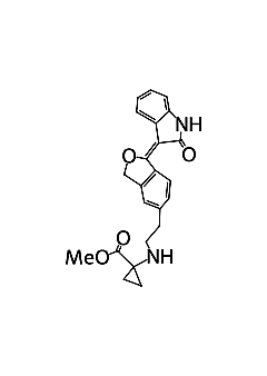 COC(=O)C1(NCCc2ccc3c(c2)COC3=C2C(=O)Nc3ccccc32)CC1